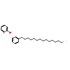 CCCCCCCCCCCCCCCc1cccc(OC(=O)c2ccccc2O)c1